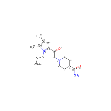 COCCn1c(C(=O)CN2CCC(C(N)=O)CC2)cc(C)c1C